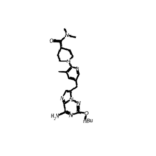 CCCCOc1nc(N)c2ncc(Cc3cnc(N4CCC(C(=O)N(C)C)CC4)c(C)c3)n2n1